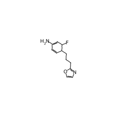 NC1=CC(F)C(CCCc2ncco2)C=C1